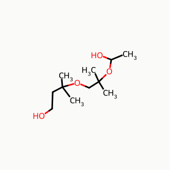 CC(O)OC(C)(C)COC(C)(C)CCO